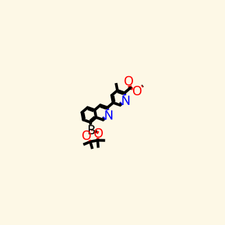 COC(=O)c1ncc(-c2cc3cccc(B4OC(C)(C)C(C)(C)O4)c3cn2)cc1C